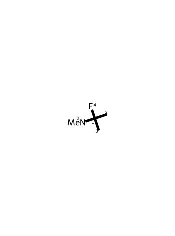 CNC(C)(C)F